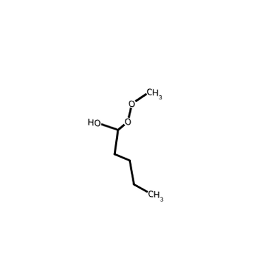 CCCCC(O)OOC